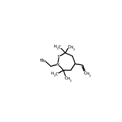 C=CC1CC(C)(C)SN(CC(C)(C)C)C(C)(C)C1